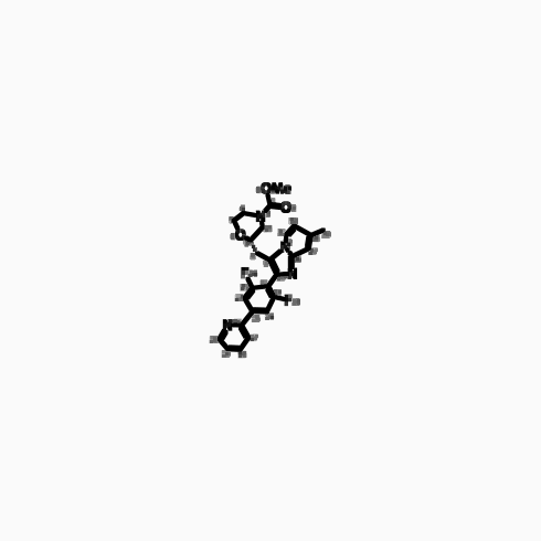 COC(=O)N1CCO[C@@H](Cc2c(-c3c(F)cc(-c4ccccn4)cc3F)nc3cc(C)ccn23)C1